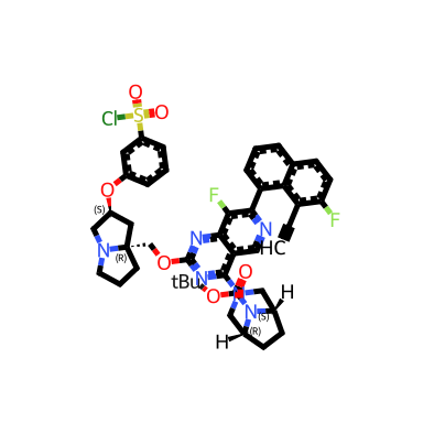 C#Cc1c(F)ccc2cccc(-c3ncc4c(N5C[C@H]6CC[C@@H](C5)N6C(=O)OC(C)(C)C)nc(OC[C@]56CCCN5C[C@@H](Oc5cccc(S(=O)(=O)Cl)c5)C6)nc4c3F)c12